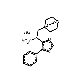 Cl.O=C(O)N(CC12CCN(CC1)CC2)c1ncsc1-c1ccccc1